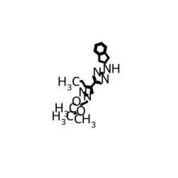 CCc1nn(CC(=O)OC(C)(C)C)cc1-c1cnc(NC2Cc3ccccc3C2)nc1